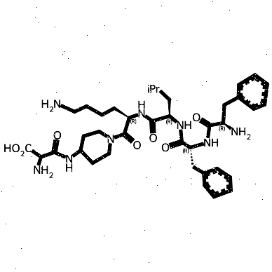 CC(C)C[C@@H](NC(=O)[C@@H](Cc1ccccc1)NC(=O)[C@H](N)Cc1ccccc1)C(=O)N[C@H](CCCCN)C(=O)N1CCC(NC(=O)C(N)C(=O)O)CC1